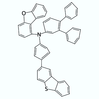 c1ccc(-c2ccc(N(c3ccc(-c4ccc5sc6ccccc6c5c4)cc3)c3cccc4oc5ccccc5c34)cc2-c2ccccc2)cc1